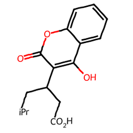 CC(C)CC(CC(=O)O)c1c(O)c2ccccc2oc1=O